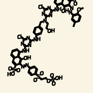 COc1ccc(C)cc1N=Nc1c(S(=O)(=O)O)cc2cccc(Nc3nc(Cl)nc(N(CCO)Cc4ccc(Nc5nc(Cl)nc(Nc6cccc7cc(S(=O)(=O)O)c(N=Nc8ccc(S(=O)(=O)CCOS(=O)(=O)O)cc8)c(O)c67)n5)cc4)n3)c2c1O